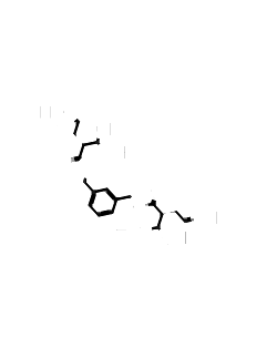 C=CC[C@H](C(=O)OCc1cccc(COC(=O)[C@@H](CC=C)C(C)C)c1)C(C)C